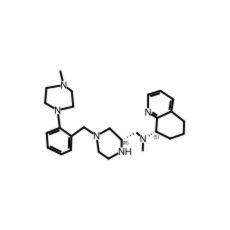 CN1CCN(c2ccccc2CN2CCN[C@@H](CN(C)[C@H]3CCCc4cccnc43)C2)CC1